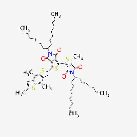 CCCCCCCCC(CCCCCCC)N1C(=O)c2c(C)sc(-c3sc(-c4cc5c(C)c6sc(C)cc6c(C)c5s4)c4c3C(=O)N(C(CCCCCCCC)CCCCCCCC)C4=O)c2C1=O